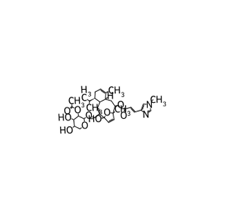 CC(=O)OC1C(OC/C2=C/C3[C@@H](C(C)C)CC=C(C)[C@@H]3CC(OC(=O)/C=C/c3cn(C)cn3)[C@]3(C)C=C[C@@]2(O)O3)OCC(O)C1O